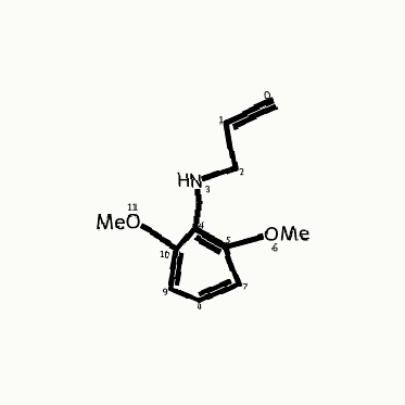 C=CCNc1c(OC)cccc1OC